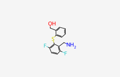 NCc1c(F)ccc(F)c1Sc1ccccc1CO